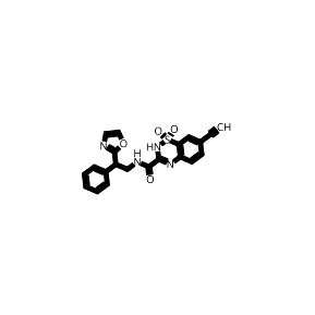 C#Cc1ccc2c(c1)S(=O)(=O)NC(C(=O)NCC(c1ccccc1)c1ncco1)=N2